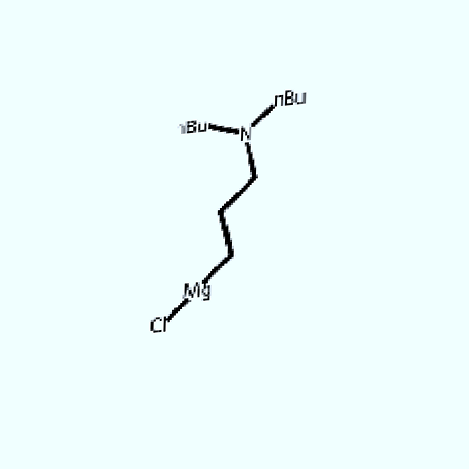 CCCCN(CCCC)CC[CH2][Mg][Cl]